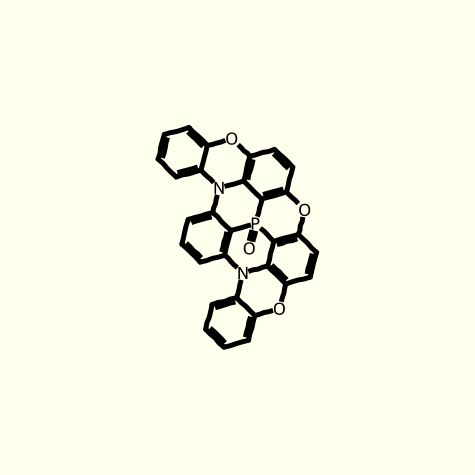 O=P12c3c4cccc3N3c5ccccc5Oc5ccc(c1c53)Oc1ccc3c(c12)N4c1ccccc1O3